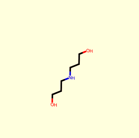 OCCCNCCCO